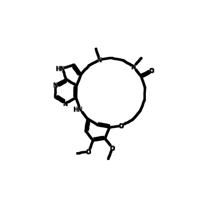 COc1cc2cc(c1OC)OCCCCC(=O)N(C)CCN(C)Cc1c[nH]c3ncnc(c13)N2